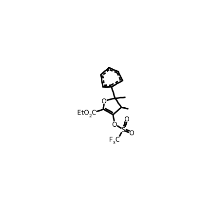 CCOC(=O)C1=C(OS(=O)(=O)C(F)(F)F)C(C)C(C)(c2ccccc2)O1